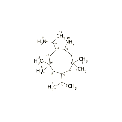 CC(C)C1CC(C)(C)CC(N)C(C(C)N)CC(C)(C)C1